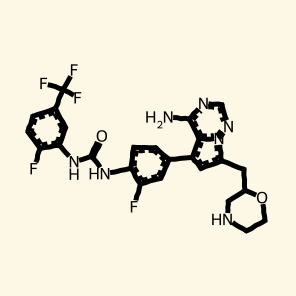 Nc1ncnn2c(CC3CNCCO3)cc(-c3ccc(NC(=O)Nc4cc(C(F)(F)F)ccc4F)c(F)c3)c12